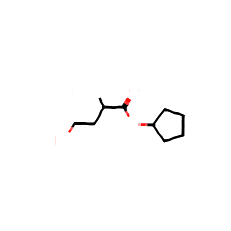 CC(CCO)C(=O)OC1CCCC1